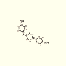 CCCc1ccc(N2CCC(Cc3ccc(O)cc3)CC2)cc1